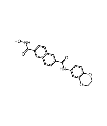 O=C(NO)c1ccc2cc(C(=O)Nc3ccc4c(c3)OCCO4)ccc2c1